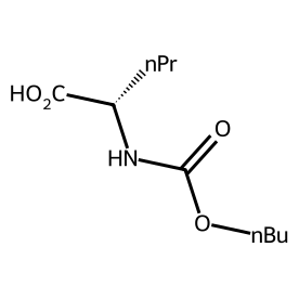 CCCCOC(=O)N[C@@H](CCC)C(=O)O